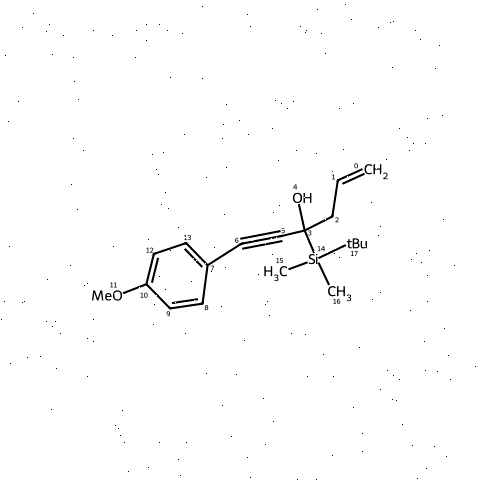 C=CCC(O)(C#Cc1ccc(OC)cc1)[Si](C)(C)C(C)(C)C